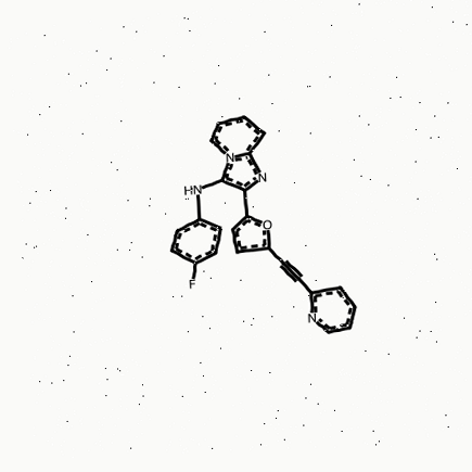 Fc1ccc(Nc2c(-c3ccc(C#Cc4ccccn4)o3)nc3ccccn23)cc1